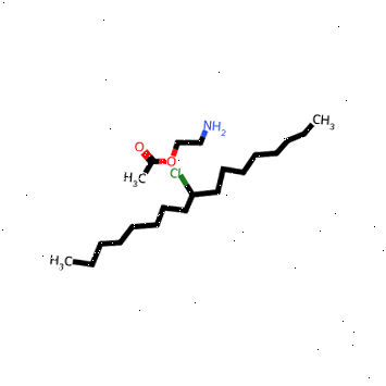 CC(=O)OCCN.CCCCCCCCC(Cl)CCCCCCCC